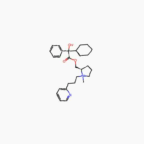 C[N+]1(CCCc2ccccn2)CCC[C@@H]1COC(=O)C(O)(c1ccccc1)C1CCCCC1